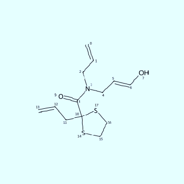 C=CCN(C/C=C/O)C(=O)C1(CC=C)SCCS1